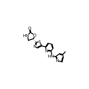 Cc1ccnc(Nc2cccc(-c3cnc([C@@H]4CNC(=O)O4)s3)n2)c1